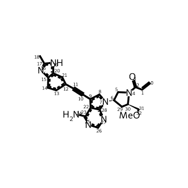 C=CC(=O)N1C[C@@H](n2cc(C#Cc3ccc4nc(C)[nH]c4c3)c3c(N)ncnc32)C[C@@H]1COC